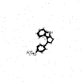 COc1ccc(C2CCc3[nH]c4ccccc4c32)cc1